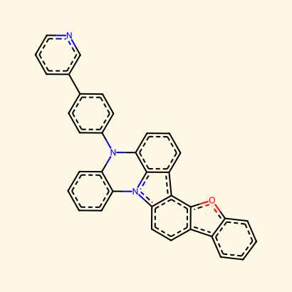 c1cncc(-c2ccc(N3c4ccccc4-n4c5ccc6c7ccccc7oc6c5c5cccc3c54)cc2)c1